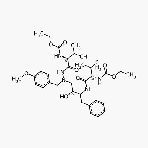 CCOC(=O)N[C@H](C(=O)NC(Cc1ccccc1)[C@@H](O)CN(Cc1ccc(OC)cc1)NC(=O)[C@@H](NC(=O)OCC)C(C)C)C(C)C